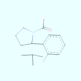 CC(C)(C)[C@]1(c2ccccc2Br)CCCN1C(=O)O